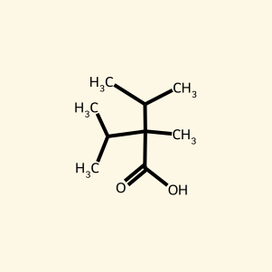 CC(C)C(C)(C(=O)O)C(C)C